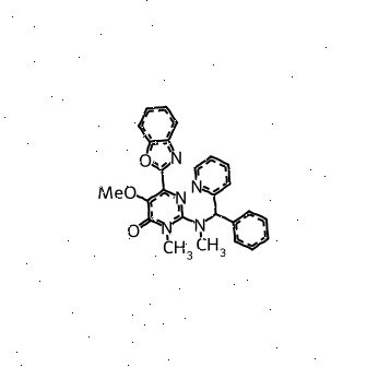 COc1c(-c2nc3ccccc3o2)nc(N(C)C(c2ccccc2)c2ccccn2)n(C)c1=O